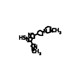 CN1CCCN(C2CCC(c3cnc4c(c3)c(-c3cnn(C)c3)cn4S)CC2)CC1